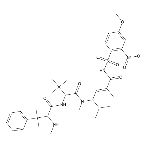 CNC(C(=O)NC(C(=O)N(C)C(C=C(C)C(=O)NS(=O)(=O)c1ccc(OC)cc1[N+](=O)[O-])C(C)C)C(C)(C)C)C(C)(C)c1ccccc1